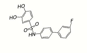 O=S(=O)(Nc1ccc(-c2cccc(F)c2)cc1)c1ccc(O)c(O)c1